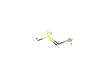 C[SH]=CBr